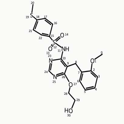 COc1ccccc1Cc1c(NS(=O)(=O)c2ccc(SC)cc2)ncnc1OCCO